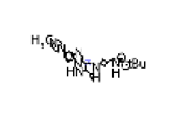 CN1CCN(c2ccc3nc(/C(=C/NC4CC(CNC(=O)OC(C)(C)C)C4)C(=N)C4CC4)cnc3c2)CC1